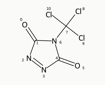 O=C1N=NC(=O)N1C(Cl)(Cl)Cl